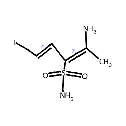 C/C(N)=C(/C=C/I)S(N)(=O)=O